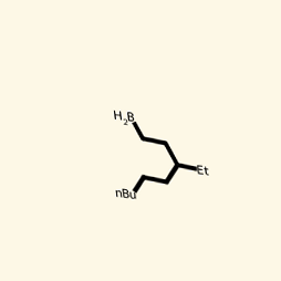 BCCC(CC)CCCCCC